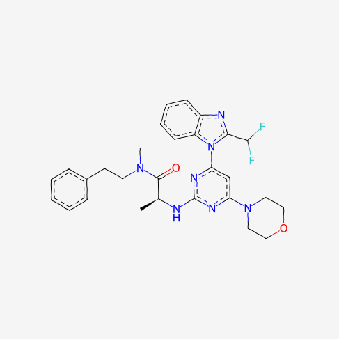 C[C@H](Nc1nc(N2CCOCC2)cc(-n2c(C(F)F)nc3ccccc32)n1)C(=O)N(C)CCc1ccccc1